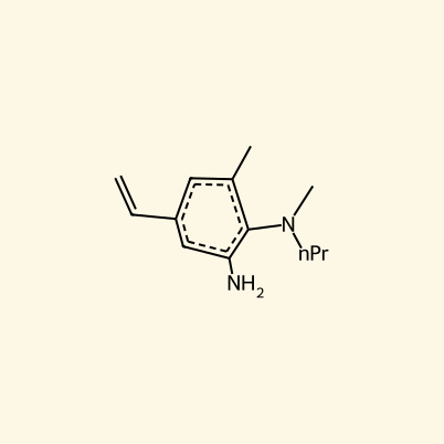 C=Cc1cc(C)c(N(C)CCC)c(N)c1